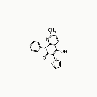 Cc1ccc2c(O)c(-n3cccn3)c(=O)n(-c3ccccc3)c2n1